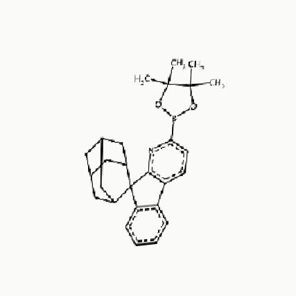 CC1(C)OB(c2ccc3c(n2)C2(c4ccccc4-3)C3CC4CC(C3)CC2C4)OC1(C)C